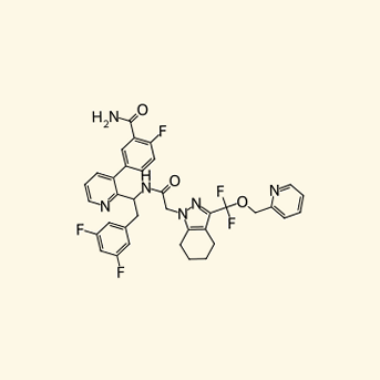 NC(=O)c1cc(-c2cccnc2C(Cc2cc(F)cc(F)c2)NC(=O)Cn2nc(C(F)(F)OCc3ccccn3)c3c2CCCC3)ccc1F